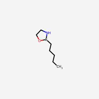 CCCCCB1NCCO1